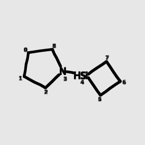 C1CCN([SiH]2CCC2)C1